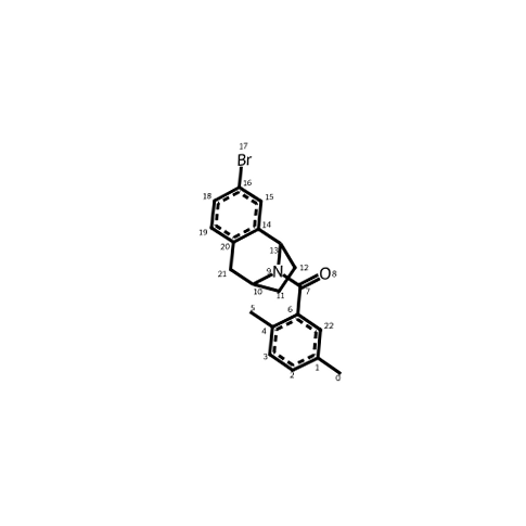 Cc1ccc(C)c(C(=O)N2C3CCC2c2cc(Br)ccc2C3)c1